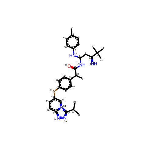 Cc1ccc(NC(CC(=N)C(C)(C)C)NC(=O)C(C)c2ccc(Sc3ccc4nnc(C(C)C)n4c3)cc2)cc1